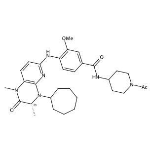 COc1cc(C(=O)NC2CCN(C(C)=O)CC2)ccc1Nc1ccc2c(n1)N(C1CCCCCC1)[C@H](C)C(=O)N2C